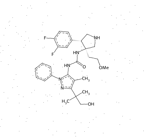 COCC[C@@]1(NC(=O)Nc2c(C)c(C(C)(C)CO)nn2-c2ccccc2)CNC[C@H]1c1ccc(F)c(F)c1